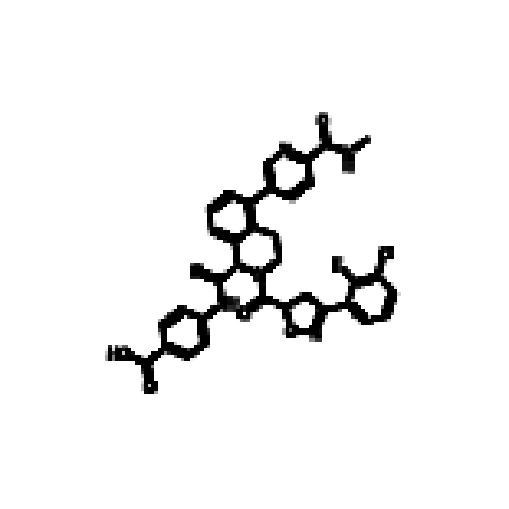 CNC(=O)c1ccc(-c2cccc3c2CCN(C(=O)C2CC(c4cccc(Cl)c4F)=NO2)[C@H]3C(=O)Nc2ccc(C(=O)O)cc2)cn1